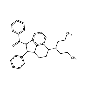 CCCN(CCC)C1CCC2c3c1cccc3N(C(=O)c1ccccc1)C2c1ccccc1